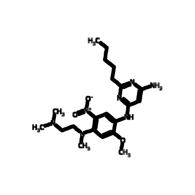 CCCCCc1nc(N)cc(Nc2cc([N+](=O)[O-])c(N(C)CCN(C)C)cc2OC)n1